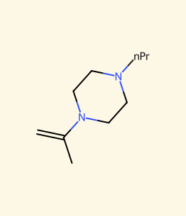 C=C(C)N1CCN(CCC)CC1